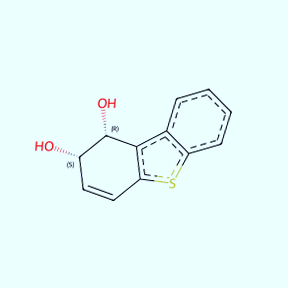 O[C@@H]1c2c(sc3ccccc23)C=C[C@@H]1O